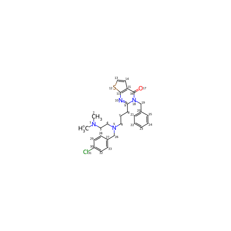 CN(C)CCN(CCCc1nc2sccc2c(=O)n1Cc1ccccc1)Cc1ccc(Cl)cc1